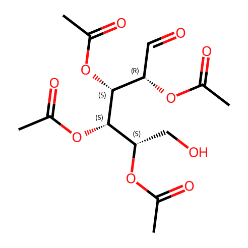 CC(=O)O[C@H]([C@H](OC(C)=O)[C@H](C=O)OC(C)=O)[C@H](CO)OC(C)=O